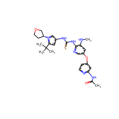 CNc1cc(Oc2ccnc(NC(C)=O)c2)cnc1NC(=S)Nc1cc(C(C)(C)C)n([C@H]2CCOC2)c1